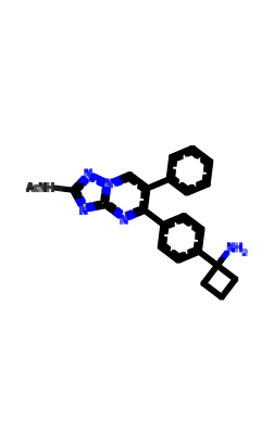 CC(=O)Nc1nc2nc(-c3ccc(C4(N)CCC4)cc3)c(-c3ccccc3)cn2n1